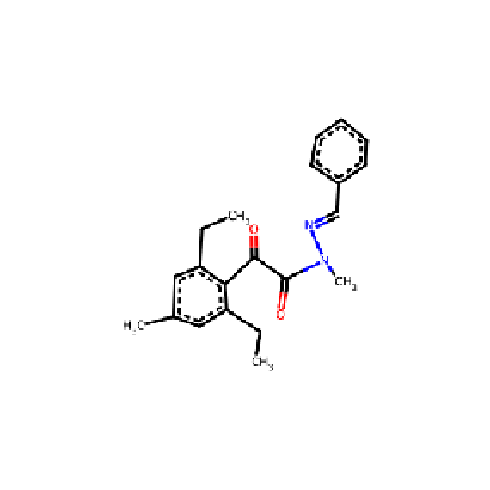 CCc1cc(C)cc(CC)c1C(=O)C(=O)N(C)N=Cc1ccccc1